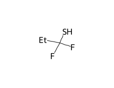 CCC(F)(F)S